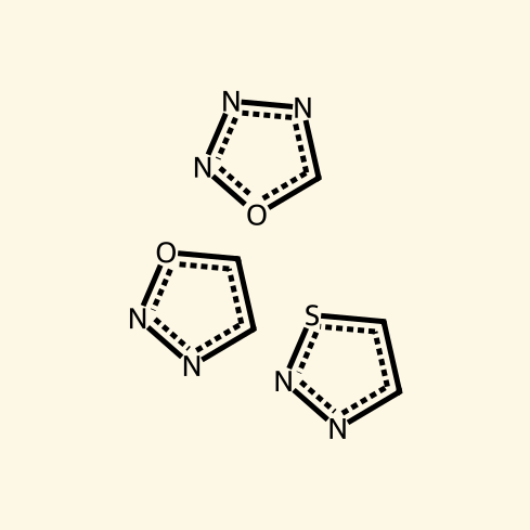 c1conn1.c1csnn1.c1nnno1